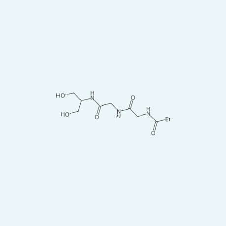 CCC(=O)NCC(=O)NCC(=O)NC(CO)CO